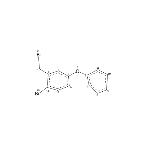 BrCc1cc(Oc2ccccc2)ccc1Br